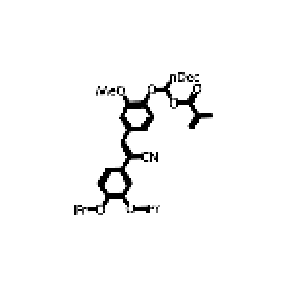 C=C(C)C(=O)OC(CCCCCCCCCC)Oc1ccc(/C=C(\C#N)c2ccc(OC(C)C)c(OC(C)C)c2)cc1OC